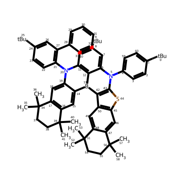 CC(C)(C)c1ccc(N2c3cc(C(C)(C)C)cc4c3B(c3cc5c(cc3N4c3ccc(C(C)(C)C)cc3-c3ccccc3)C(C)(C)CCC5(C)C)c3c2sc2cc4c(cc32)C(C)(C)CCC4(C)C)cc1